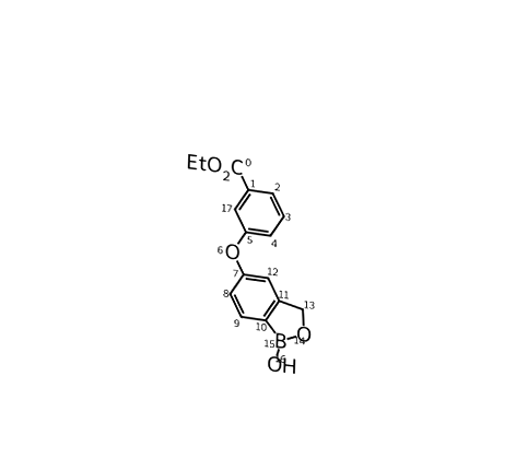 CCOC(=O)c1cccc(Oc2ccc3c(c2)COB3O)c1